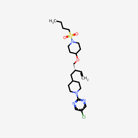 C=C[C@@H](COC1CCN(S(=O)(=O)CCCC)CC1)CC1CCN(c2ncc(Cl)cn2)CC1